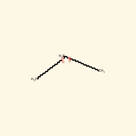 CCCCCCCCCCCCCCCCCCCCCC(=O)OCCC(C)COC(=O)CCCCCCCCCCCCCCCCCCCCC